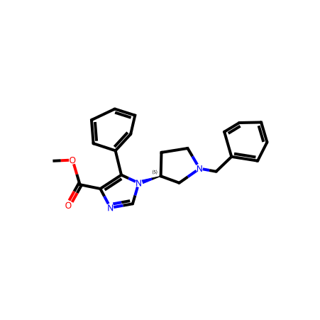 COC(=O)c1ncn([C@H]2CCN(Cc3ccccc3)C2)c1-c1ccccc1